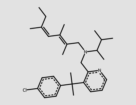 CC/C(C)=C\C(C)=C(/C)CN(Cc1ncccc1C(C)(C)c1ccc(Cl)cc1)C(C)C(C)C